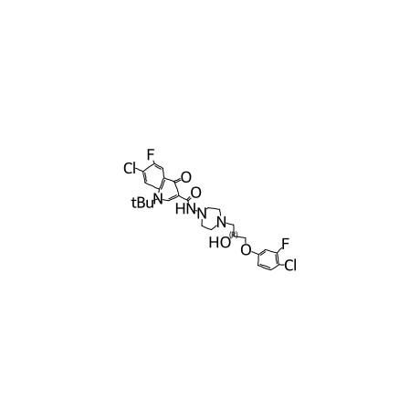 CC(C)(C)n1cc(C(=O)NN2CCN(C[C@@H](O)COc3ccc(Cl)c(F)c3)CC2)c(=O)c2cc(F)c(Cl)cc21